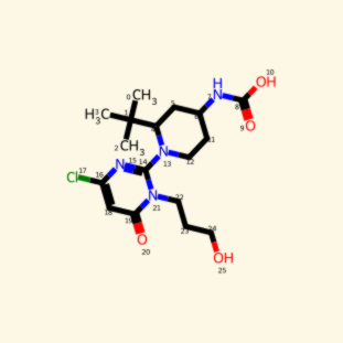 CC(C)(C)C1CC(NC(=O)O)CCN1c1nc(Cl)cc(=O)n1CCCO